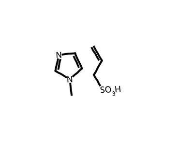 C=CCS(=O)(=O)O.Cn1ccnc1